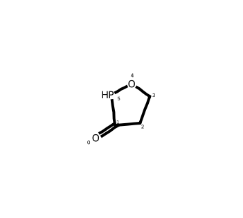 O=C1CCOP1